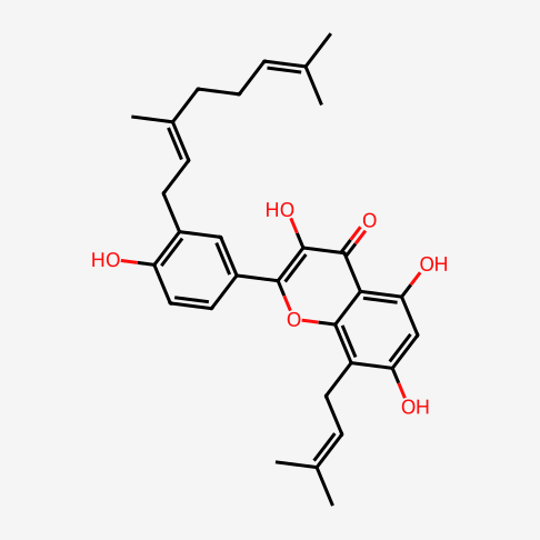 CC(C)=CCC/C(C)=C/Cc1cc(-c2oc3c(CC=C(C)C)c(O)cc(O)c3c(=O)c2O)ccc1O